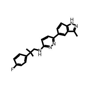 Cc1n[nH]c2ccc(-c3ccc(NCC(C)(C)c4ccc(F)cc4)nn3)cc12